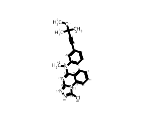 COC(C)(C)C#Cc1cccc(N(C)c2nc3nnc(Cl)n3c3ccccc23)c1